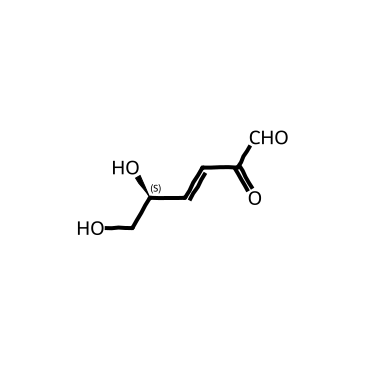 O=CC(=O)C=C[C@H](O)CO